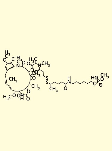 COc1cc2cc(c1Cl)N(C)C(=O)CC(OC(=O)C(C)N(C)C(=O)CCSSC(C)CCCC(=O)NCCCCCCOP(=O)(O)OC)C1(C)OC1[C@H](C)C1C[C@@](O)(NC(=O)O1)[C@H](OC)/C=C/C=C(\C)C2